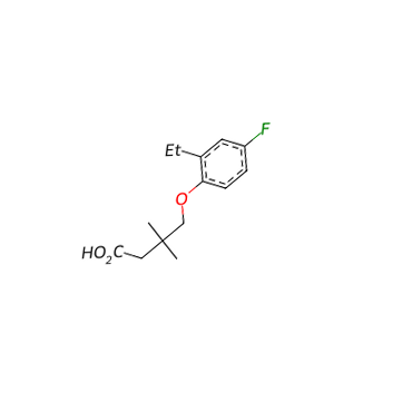 CCc1cc(F)ccc1OCC(C)(C)CC(=O)O